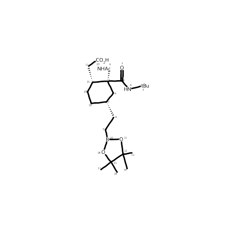 CC(=O)N[C@]1(C(=O)NC(C)(C)C)C[C@H](CCB2OC(C)(C)C(C)(C)O2)CC[C@@H]1CC(=O)O